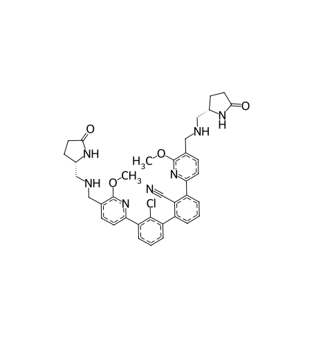 COc1nc(-c2cccc(-c3cccc(-c4ccc(CNC[C@@H]5CCC(=O)N5)c(OC)n4)c3C#N)c2Cl)ccc1CNC[C@@H]1CCC(=O)N1